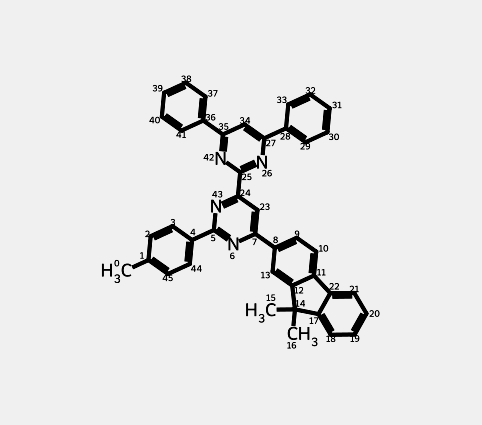 Cc1ccc(-c2nc(-c3ccc4c(c3)C(C)(C)c3ccccc3-4)cc(-c3nc(-c4ccccc4)cc(-c4ccccc4)n3)n2)cc1